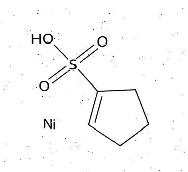 O=S(=O)(O)C1=CCCC1.[Ni]